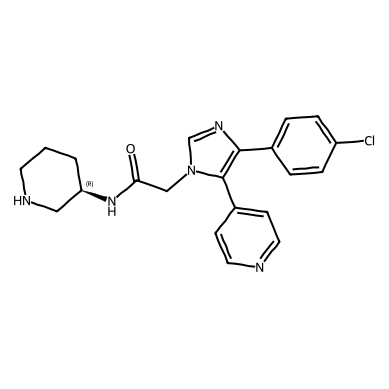 O=C(Cn1cnc(-c2ccc(Cl)cc2)c1-c1ccncc1)N[C@@H]1CCCNC1